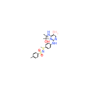 Bc1cnc(Nc2ccc(S(C)=NS(=O)(=O)c3ccc(C)cc3)cc2)nc1N[C@H](C)C(C)(C)O